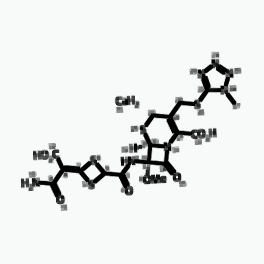 CO[C@@]1(NC(=O)C2SC(=C(C(N)=O)C(=O)O)S2)C(=O)N2C(C(=O)O)=C(CSc3nnnn3C)CS[C@@H]21.[CaH2]